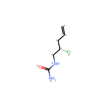 C=CC[C@H](Cl)CNC(N)=O